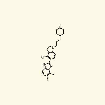 Cc1c(F)ccc2[nH]c(-c3ccc4c(c3Cl)CCN4CCCC3CCN(C)CC3)nc12